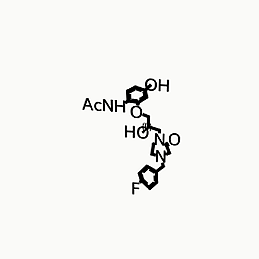 CC(=O)Nc1ccc(O)cc1OC[C@H](O)CN1CCN(Cc2ccc(F)cc2)CC1=O